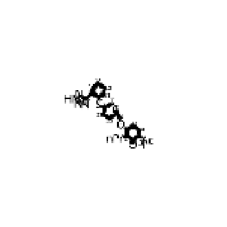 CCCc1c(OCc2ccc(Sc3ccccc3-c3nn[nH]n3)cc2)ccc(C(C)=O)c1O